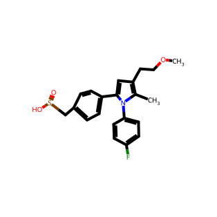 COCCc1cc(-c2ccc(CS(=O)O)cc2)n(-c2ccc(F)cc2)c1C